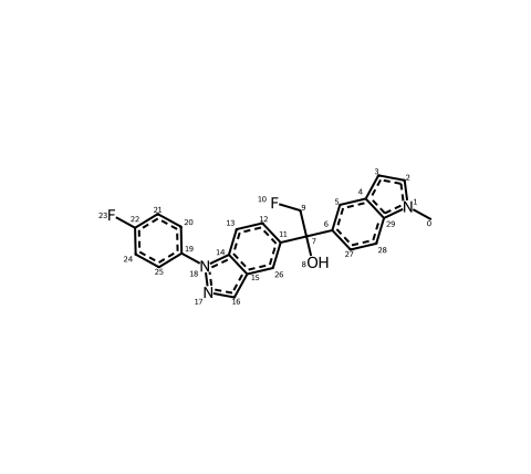 Cn1ccc2cc(C(O)(CF)c3ccc4c(cnn4-c4ccc(F)cc4)c3)ccc21